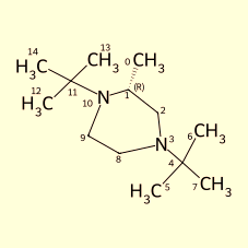 C[C@@H]1CN(C(C)(C)C)CCN1C(C)(C)C